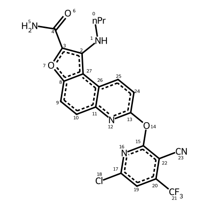 CCCNc1c(C(N)=O)oc2ccc3nc(Oc4nc(Cl)cc(C(F)(F)F)c4C#N)ccc3c12